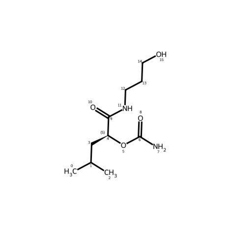 CC(C)C[C@H](OC(N)=O)C(=O)NCCCO